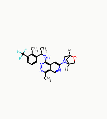 Cc1c([C@@H](C)Nc2nnc(C)c3cnc(N4C[C@H]5C[C@@H]4CO5)cc23)cccc1C(F)(F)F